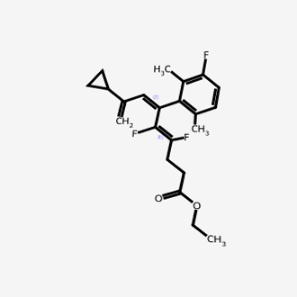 C=C(/C=C(\C(F)=C(/F)CCC(=O)OCC)c1c(C)ccc(F)c1C)C1CC1